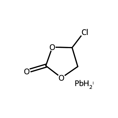 O=C1OCC(Cl)O1.[PbH2]